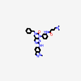 CN(C)C/C=C/C(=O)Nc1cccc(N2C(=O)N(Cc3ccccc3)Cc3cnc(Nc4ccc5cnn(C)c5c4)nc32)c1